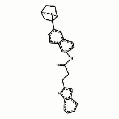 O=C(CCc1nc2ccccc2s1)Nc1ccc2nc(N3CC4CCC3CC4)ccc2c1